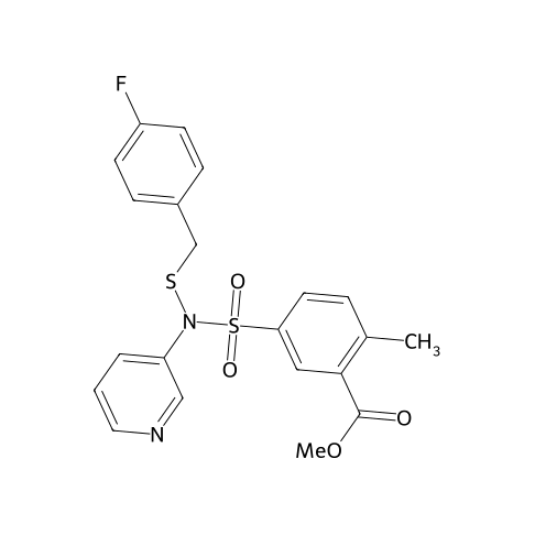 COC(=O)c1cc(S(=O)(=O)N(SCc2ccc(F)cc2)c2cccnc2)ccc1C